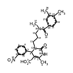 CC1=C(C(=O)O)C(c2cccc([N+](=O)[O-])c2)N(CCCN(C)C(=O)c2ccc(C)c(C)c2)C(=O)N1